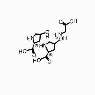 NCC(=O)O.O=C(O)[C@@H]1CC(O)CN1.O=C(O)[C@@H]1CC(O)CN1